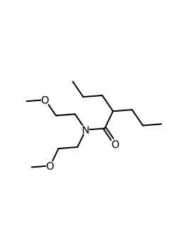 CCCC(CCC)C(=O)N(CCOC)CCOC